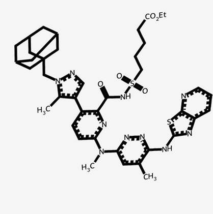 CCOC(=O)CCCCS(=O)(=O)NC(=O)c1nc(N(C)c2cc(C)c(Nc3nc4cccnc4s3)nn2)ccc1-c1cnn(CC23CC4CC(CC(C4)C2)C3)c1C